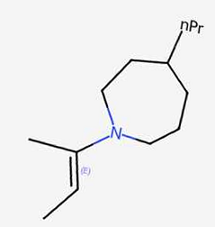 C/C=C(\C)N1CCCC(CCC)CC1